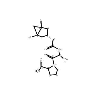 CC(C)(C)[C@H](NC(=O)O[C@@H]1C[C@@H]2C[C@@H]2C1)C(=O)N1CCCC1C(N)=O